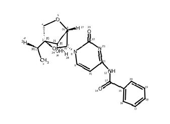 [2H][C@H](C)[C@]12CO[C@H]([C@H](n3ccc(NC(=O)c4ccccc4)nc3=O)O1)[C@H]2O